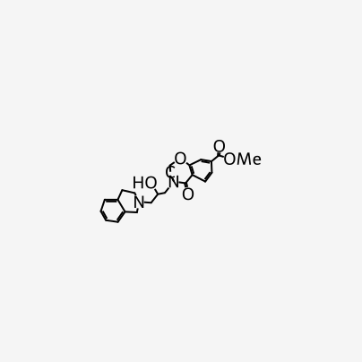 COC(=O)c1ccc2c(c1)OCCN(CC(O)CN1CCc3ccccc3C1)C2=O